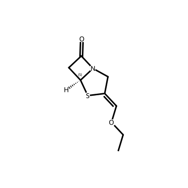 CCOC=C1CN2C(=O)C[C@@H]2S1